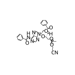 [2H]C[C@H](COP(C)OCCC#N)O[C@H](COC(=O)c1ccccc1)n1cnc2c(NC(=O)c3ccccc3)ncnc21